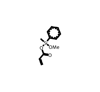 C=CC(=O)O[Si](C)(OC)c1ccccc1